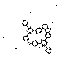 c1ccc(-c2nc(-c3ccccc3)nc(-c3cccc(Oc4ccc(-c5nc(-c6ccccc6)nc(-c6ccc7sc8ccccc8c7c6)n5)cc4)c3)n2)cc1